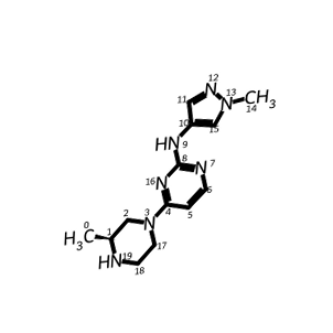 C[C@H]1CN(c2ccnc(Nc3cnn(C)c3)n2)CCN1